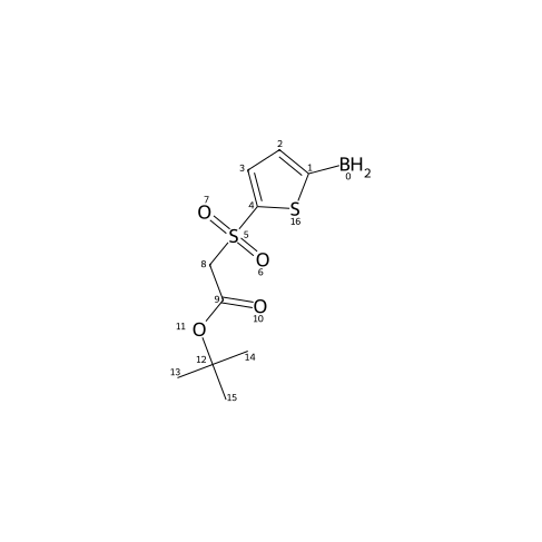 Bc1ccc(S(=O)(=O)CC(=O)OC(C)(C)C)s1